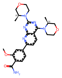 COc1cc(-c2ccc3c(N4CCOC[C@@H]4C)nc(N4CCOC[C@@H]4C)nc3n2)ccc1C(N)=O